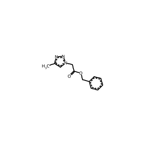 Cc1cn(CC(=O)OCc2ccccc2)nn1